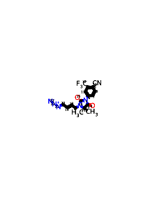 CC1(C)C(=O)N(c2ccc(C#N)c(C(F)(F)F)c2)C(=O)N1CC=CCN=[N+]=[N-]